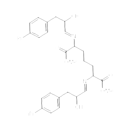 COC(=O)C(CCCC(N=CC(C)Cc1ccc(C(C)C)cc1)C(=O)OC)N=CC(C)Cc1ccc(C(C)C)cc1